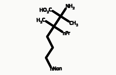 CCCCCCCCCCCCC(C)(CCC)C(C)(N)C(=O)O